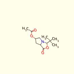 CC(=O)OC1CC2C(=O)OC(C(C)(C)C)N2C1